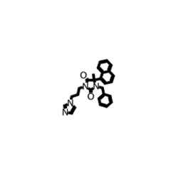 CC1(c2cccc3ccccc23)C(=O)N(CCCn2ccnc2)C(=O)N1Cc1ccccc1